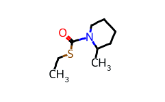 CCSC(=O)N1CCCCC1C